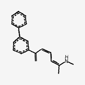 C=C(/C=C\C=C(\C)NC)c1cccc(-c2ccccc2)c1